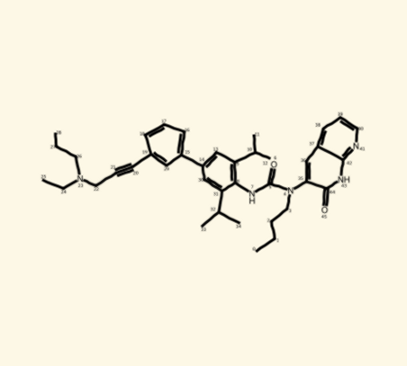 CCCCN(C(=O)Nc1c(C(C)C)cc(-c2cccc(C#CCN(CC)CCC)c2)cc1C(C)C)c1cc2cccnc2[nH]c1=O